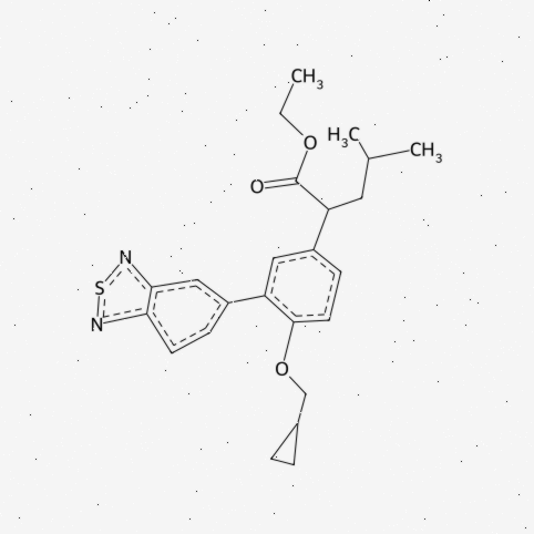 CCOC(=O)C(CC(C)C)c1ccc(OCC2CC2)c(-c2ccc3nsnc3c2)c1